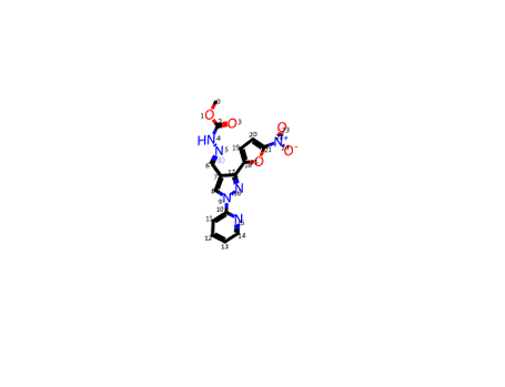 COC(=O)N/N=C/c1cn(-c2ccccn2)nc1-c1ccc([N+](=O)[O-])o1